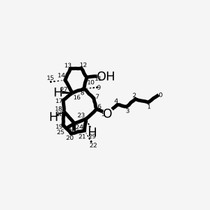 CCCCCOC1C[C@]2(C)C(O)CC[C@@H](C)[C@H]2C[C@@H]2CC[C@@H](C)[C@H]1C2(C)C